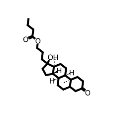 CCCC(=O)OCCCC1(O)CC[C@H]2[C@@H]3CCC4CC(=O)CC[C@]4(C)[C@@H]3CC[C@@]21C